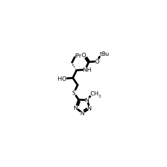 CC(C)C[C@H](NC(=O)OC(C)(C)C)C(O)CSc1nnnn1C